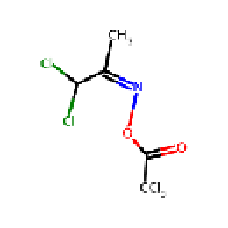 CC(=NOC(=O)C(Cl)(Cl)Cl)C(Cl)Cl